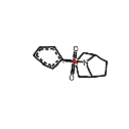 O=S(=O)(c1ccccc1)N1C2CCC1CN(I)C2